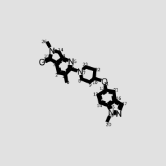 Cc1cc2c(nc1N1CCC(Oc3ccc4c(cnn4C)c3)CC1)CN(C)C2=O